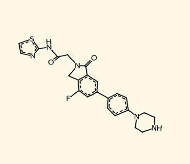 O=C(CN1Cc2c(F)cc(-c3ccc(N4CCNCC4)cc3)cc2C1=O)Nc1nccs1